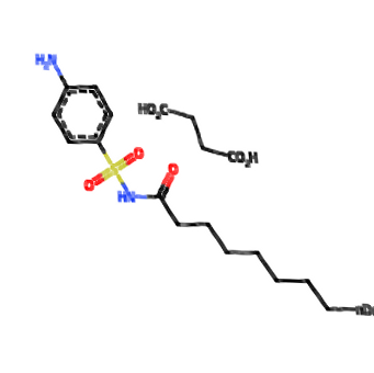 CCCCCCCCCCCCCCCCCC(=O)NS(=O)(=O)c1ccc(N)cc1.O=C(O)CCC(=O)O